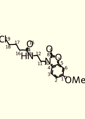 COc1ccc2c(c1)oc(=O)n2CCNC(=O)CCCCl